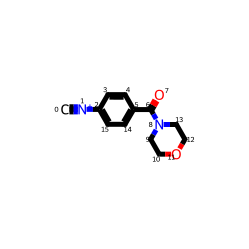 [C-]#[N+]c1ccc(C(=O)N2CCOCC2)cc1